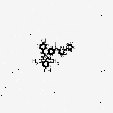 Cc1cc(C)c(S(=O)(=O)N(Cc2ccc(Cl)cc2)c2ccc(Nc3ccnc(N4CCCC4)n3)cc2)c(C)c1